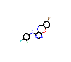 Fc1ccc(Nc2ncnc3c2NCc2cc(Br)ccc2O3)cc1Cl